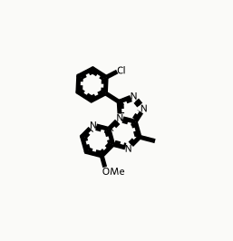 COc1ccnc2c1nc(C)c1nnc(-c3ccccc3Cl)n12